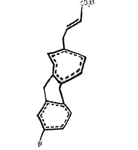 CCOC(=O)C=Cc1ccc2c(c1)Cc1cc(Br)ccc1-2